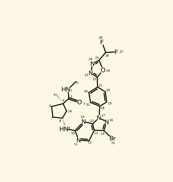 CNC(=O)[C@]1(C)CC[C@@H](Nc2ncc3c(Br)nn(-c4ccc(-c5nnc(C(F)F)o5)cc4)c3n2)C1